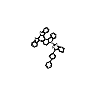 c1ccc(-c2ccc(-c3nc(-n4c5ccccc5c5c6c(ccc54)c4c5ccccc5sc4c4sc5ccccc5c46)nc4ccccc34)cc2)cc1